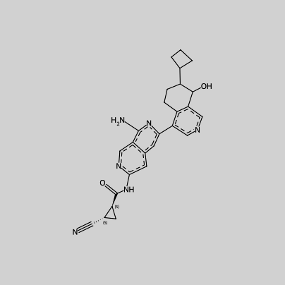 N#C[C@H]1C[C@@H]1C(=O)Nc1cc2cc(-c3cncc4c3CCC(C3CCC3)C4O)nc(N)c2cn1